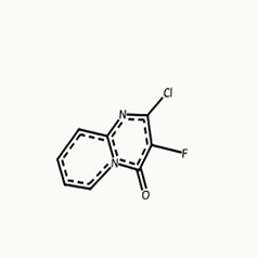 O=c1c(F)c(Cl)nc2ccccn12